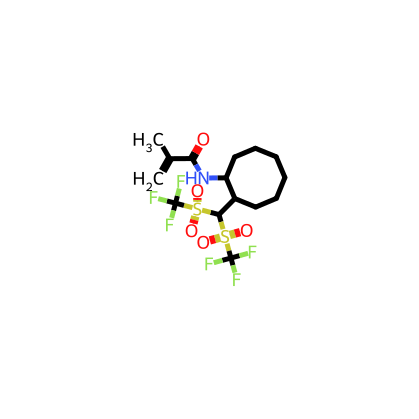 C=C(C)C(=O)NC1CCCCCCC1C(S(=O)(=O)C(F)(F)F)S(=O)(=O)C(F)(F)F